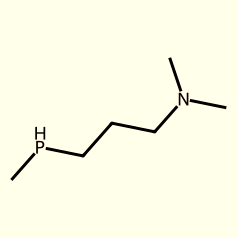 CPCCCN(C)C